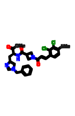 COC(=O)[C@H](CC1CN(Cc2ccccc2)C=N1)NC(=O)C1CN(C(=O)/C=C/c2ccc(SC)c(Cl)c2Cl)C1